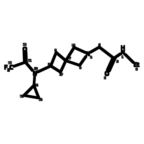 CCNC(=O)CN1CC2(CC(N(C(=O)C(F)(F)F)C3CC3)C2)C1